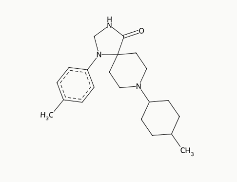 Cc1ccc(N2CNC(=O)C23CCN(C2CCC(C)CC2)CC3)cc1